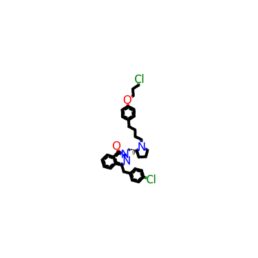 O=c1c2ccccc2c(Cc2ccc(Cl)cc2)nn1C[C@H]1CCCN1CCCCc1ccc(OCCCCl)cc1